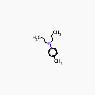 CCCN(CCC)c1ccc(C)cc1